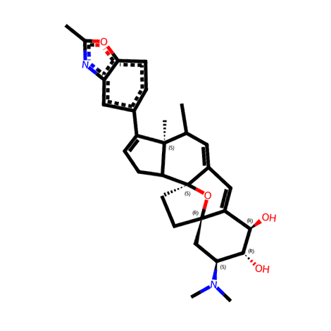 Cc1nc2cc(C3=CCC4[C@]3(C)C(C)C=C3C=C5[C@@H](O)[C@H](O)[C@@H](N(C)C)C[C@]56CC[C@@]34O6)ccc2o1